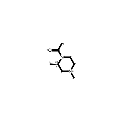 CC(=O)N1CCN(C)C[C@H]1C